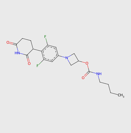 CCCCNC(=O)OC1CN(c2cc(F)c(C3CCC(=O)NC3=O)c(F)c2)C1